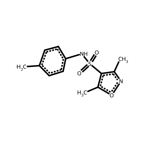 [CH2]c1ccc(NS(=O)(=O)c2c(C)noc2C)cc1